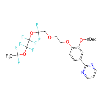 CCCCCCCCCCOc1cc(-c2ncccn2)ccc1OCCOCC(F)(F)OC(F)(F)C(F)(F)OC(F)(F)C(F)(F)F